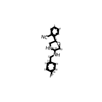 N#Cc1ccccc1C1CNC(NCc2ccc(F)cc2)CO1